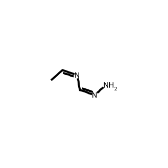 C/C=N\C=N/N